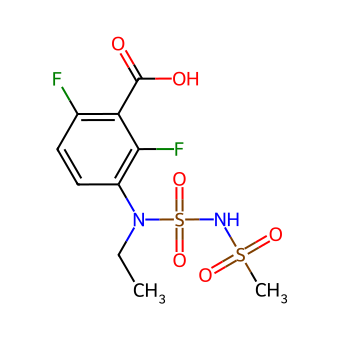 CCN(c1ccc(F)c(C(=O)O)c1F)S(=O)(=O)NS(C)(=O)=O